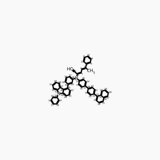 C#C/C(=C\C=C(/C)c1ccccc1)N(c1ccc(-c2ccc(-c3cccc4ccccc34)cc2)cc1)c1cccc(-c2cccc3c2c2ccccc2n3-c2ccccc2)c1